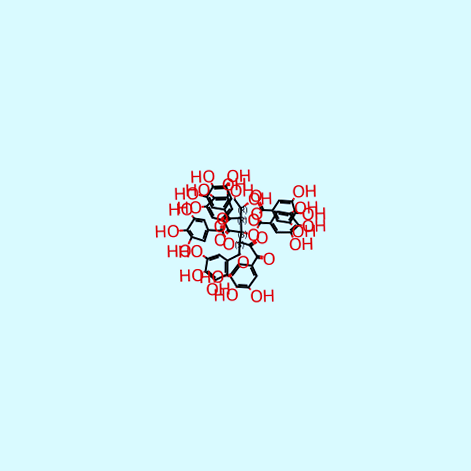 O=C(O[C@](C(=O)C(=O)c1cc(O)c(O)c(O)c1)(C(=O)c1cc(O)c(O)c(O)c1)[C@](OC(=O)c1cc(O)c(O)c(O)c1)(C(=O)c1cc(O)c(O)c(O)c1)[C@@](OC(=O)c1cc(O)c(O)c(O)c1)(C(=O)c1cc(O)c(O)c(O)c1)[C@H](O)CO)c1cc(O)c(O)c(O)c1